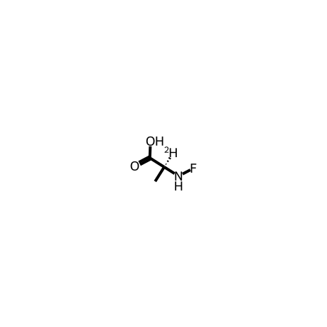 [2H][C@@](C)(NF)C(=O)O